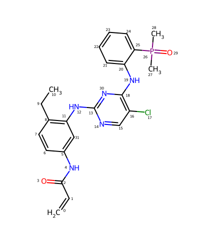 C=CC(=O)Nc1ccc(CC)c(Nc2ncc(Cl)c(Nc3ccccc3P(C)(C)=O)n2)c1